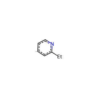 CCc1c[c]ccn1